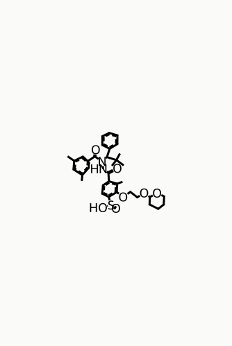 Cc1cc(C)cc(C(=O)N(NC(=O)c2ccc(S(=O)O)c(OCCOC3CCCCO3)c2C)C(c2ccccc2)C(C)(C)C)c1